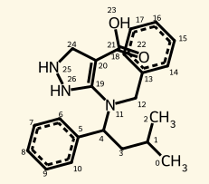 CC(C)CC(c1ccccc1)N(Cc1ccccc1)C1=C(C(=O)O)CNN1